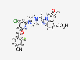 CC(c1nc2ccc(C(=O)O)cc2n1CC1CCO1)N1CCN(c2cc(Cl)cc(OCc3ccc(C#N)cc3F)n2)CC1